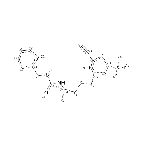 C#Cc1cc(C(F)(F)F)cc(CCC[C@H](C)NC(=O)OCc2ccccc2)n1